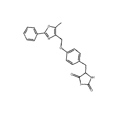 Cc1oc(-c2ccccc2)nc1COc1ccc(CC2NC(=O)SC2=O)cc1